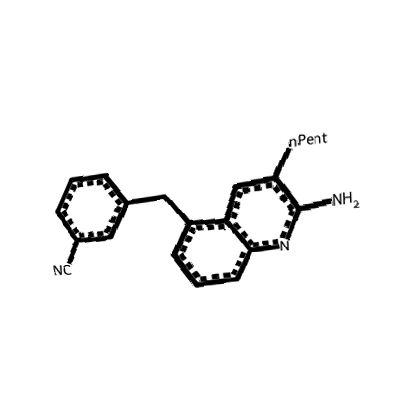 CCCCCc1cc2c(Cc3cccc(C#N)c3)cccc2nc1N